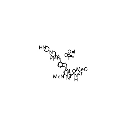 CNc1cc(N2CCc3c(CN4CC5(CCN(C6CCNCC6)CC5(F)F)C4)cccc32)nn2c(C(=O)N[C@@H]3CC[C@H]3OC)cnc12.O=C(O)C(F)(F)F